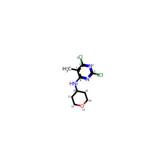 Cc1c(Cl)nc(Cl)nc1NC1CCOCC1